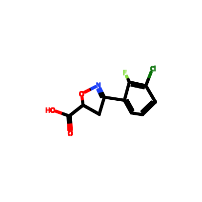 O=C(O)C1CC(c2cccc(Cl)c2F)=NO1